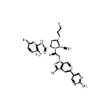 C#C[C@@H]1[C@@H](CCCF)C[C@@H](C(=O)Nc2nc(Br)ccc2C)N1C(=O)Cn1nc(C(C)=O)c2cc(-c3cnc(C)nc3)ncc21